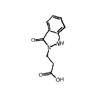 O=C(O)CCn1[nH]c2ccccc2c1=O